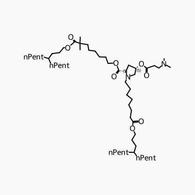 CCCCCC(CCCCC)CCCOC(=O)CCCCCCCN1C[C@@H](OC(=O)CCN(C)C)C[C@H]1C(=O)OCCCCCCC(C)(C)C(=O)OCCCC(CCCCC)CCCCC